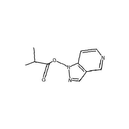 CC(C)C(=O)On1ncc2cnccc21